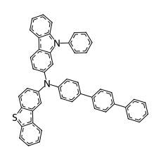 c1ccc(-c2ccc(-c3ccc(N(c4ccc5sc6ccccc6c5c4)c4ccc5c6ccccc6n(-c6ccccc6)c5c4)cc3)cc2)cc1